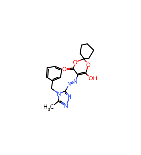 Cc1nnc(N=NC2=C(O)OC3(CCCCC3)OC2=O)n1Cc1ccccc1